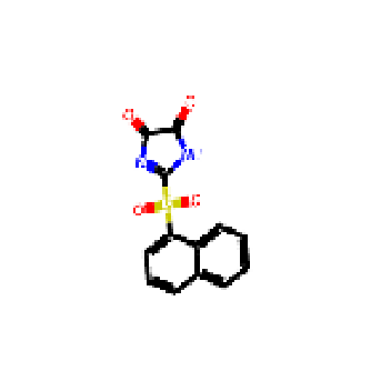 O=C1N=C(S(=O)(=O)c2cccc3ccccc23)NC1=O